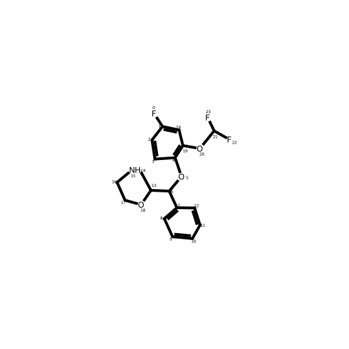 Fc1ccc(OC(c2ccccc2)C2CNCCO2)c(OC(F)F)c1